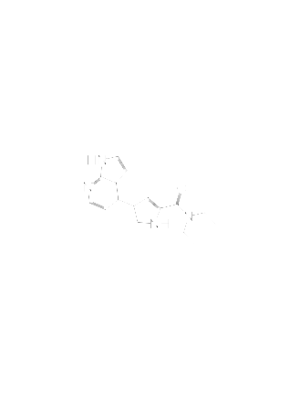 CCN(CC)C(=O)C1=CC(C2C=CN=C3NC=CC32)CN1